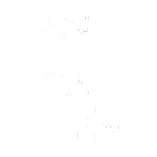 Cc1c(C)n(Cc2ccc(-c3ccccc3C(=O)O)cc2)c2ccc(C(=O)N[C@@H](C)c3cccc(Cl)c3)cc12